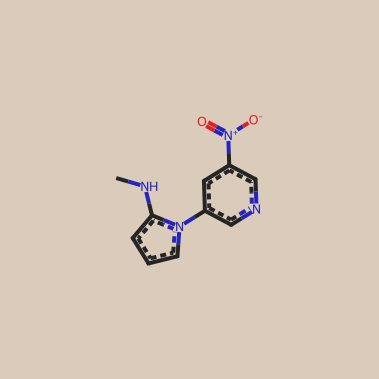 CNc1cccn1-c1cncc([N+](=O)[O-])c1